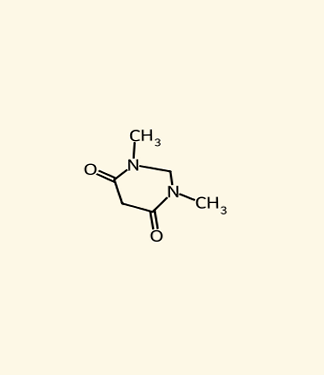 CN1CN(C)C(=O)CC1=O